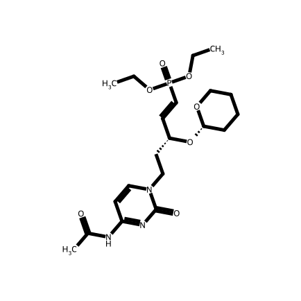 CCOP(=O)(C=C[C@@H](CCn1ccc(NC(C)=O)nc1=O)O[C@H]1CCCCO1)OCC